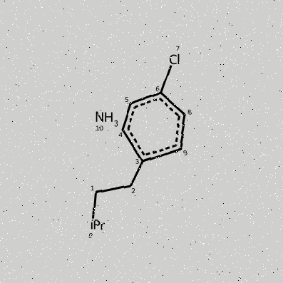 CC(C)CCc1ccc(Cl)cc1.N